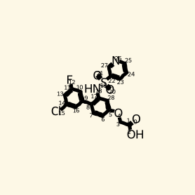 O=C(O)COc1ccc(-c2cc(F)cc(Cl)c2)c(NS(=O)(=O)c2cccnc2)c1